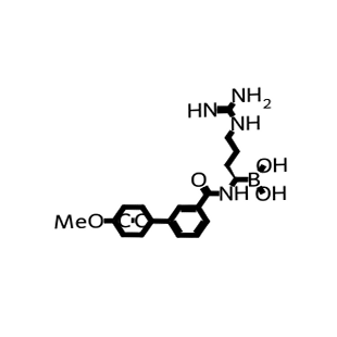 COC12CCC(c3cccc(C(=O)N[C@@H](CCCNC(=N)N)B(O)O)c3)(CC1)CC2